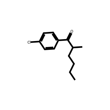 CCCCC(C)C(=O)c1ccc(Cl)cc1